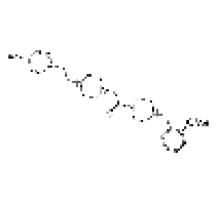 COc1ccccc1CN1CCN(C(=O)CN2CCN(CCc3ccc(C(C)=O)cc3)CC2)CC1